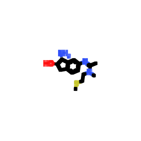 CSCCN(C)C(C)=Nc1ccc2c(c1)[C@@H](N)[C@H](O)C2